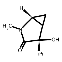 CC(C)[C@@]1(O)C(=O)N(C)[C@@H]2CC21